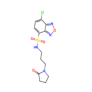 O=C1CCCN1CCCNS(=O)(=O)c1ccc(Cl)c2nonc12